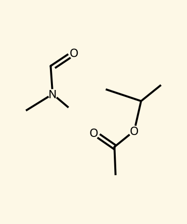 CC(=O)OC(C)C.CN(C)C=O